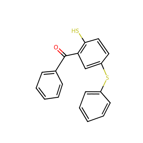 O=C(c1ccccc1)c1cc(Sc2ccccc2)ccc1S